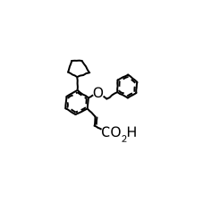 O=C(O)/C=C/c1cccc(C2CCCC2)c1OCc1ccccc1